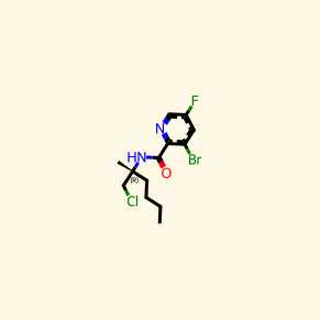 CCCC[C@](C)(CCl)NC(=O)c1ncc(F)cc1Br